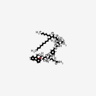 CCC=CCC=CCCCCCC(CCCCCCC)C(C=O)OC(=O)C(C)(C)NC(=O)[C@H](CC(C)C)NC(=O)OCc1ccc(NC(=O)[C@H](CCCNC(N)=O)NC(=O)[C@@H](NC(=O)OCC2c3ccccc3-c3ccccc32)C(C)C)cc1